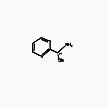 CC(C)(C)[C@@H](N)c1ncccn1